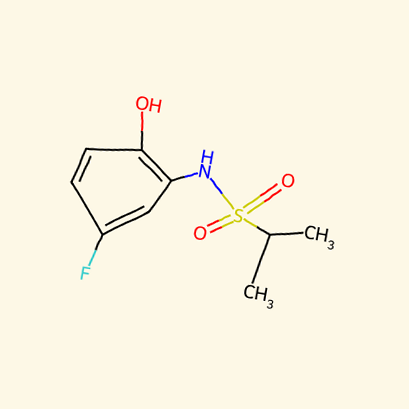 CC(C)S(=O)(=O)Nc1cc(F)ccc1O